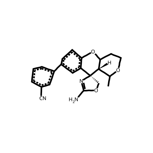 CC1OCCC2Oc3ccc(-c4cccc(C#N)c4)cc3[C@@]3(COC(N)=N3)[C@@H]12